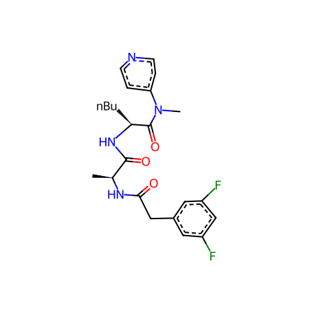 CCCC[C@H](NC(=O)[C@H](C)NC(=O)Cc1cc(F)cc(F)c1)C(=O)N(C)c1ccncc1